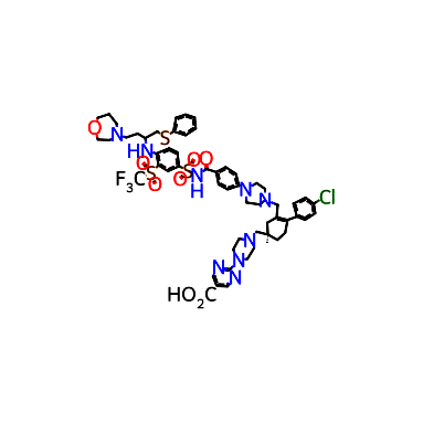 C[C@@]1(CN2CCN(c3ncc(C(=O)O)cn3)CC2)CCC(c2ccc(Cl)cc2)=C(CN2CCN(c3ccc(C(=O)NS(=O)(=O)c4ccc(NC(CCN5CCCOCC5)CSc5ccccc5)c(S(=O)(=O)C(F)(F)F)c4)cc3)CC2)C1